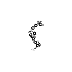 CCOc1cc(-c2ccc(N3CCC(CN4CCN(C(=O)CCN5CCN(c6ccc(NC7CCC(=O)NC7=O)cc6)CC5)CC4)(NC(=O)c4cc(F)ccc4F)CC3)nc2)c2c(C#N)cnn2c1